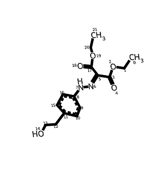 CCOC(=O)C(=NNc1ccc(CCO)cc1)C(=O)OCC